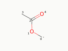 [CH2]OC(C)=O